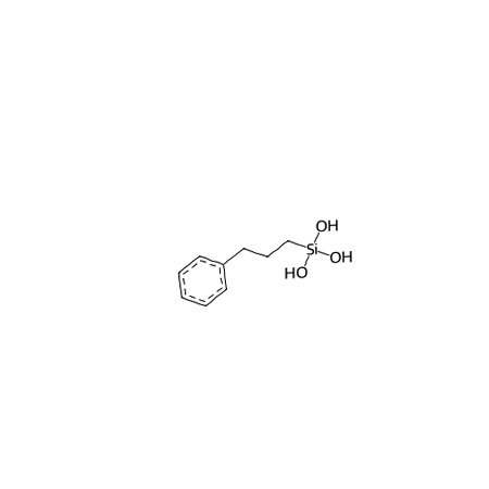 O[Si](O)(O)CCCc1ccccc1